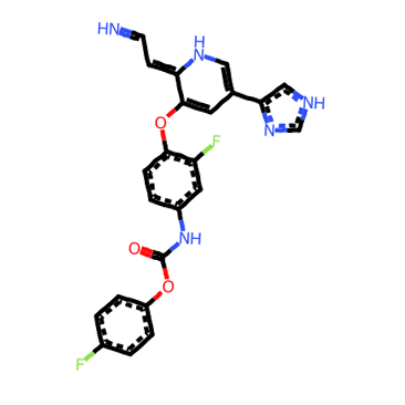 N=C/C=C1\NC=C(c2c[nH]cn2)C=C1Oc1ccc(NC(=O)Oc2ccc(F)cc2)cc1F